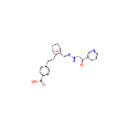 O=C(O)c1ccc(CCC2C3CCC(O3)C2C=NNCC(=O)c2cccnc2)cc1